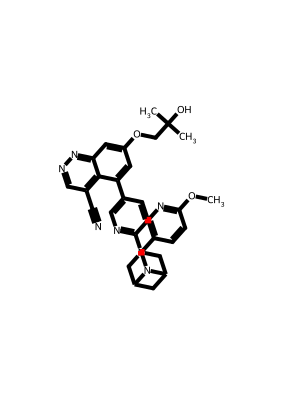 COc1ccc(CN2C3CC2CN(c2ccc(-c4cc(OCC(C)(C)O)cc5nncc(C#N)c45)cn2)C3)cn1